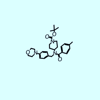 Cc1ccc(C(=O)N(Cc2ccc(N3CCOCC3)cc2)C2CCN(C(=O)OC(C)(C)C)CC2)cc1